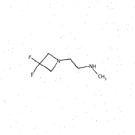 CNCCN1CC(F)(F)C1